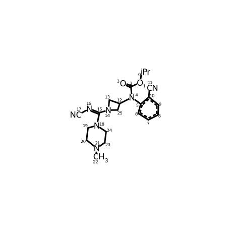 CC(C)OC(=O)N(c1ccccc1C#N)C1CN(C(=NC#N)N2CCN(C)CC2)C1